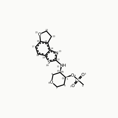 CS(=O)(=O)O[C@H]1CCOC[C@H]1Nc1nc2c3c(ccc2s1)OCC3